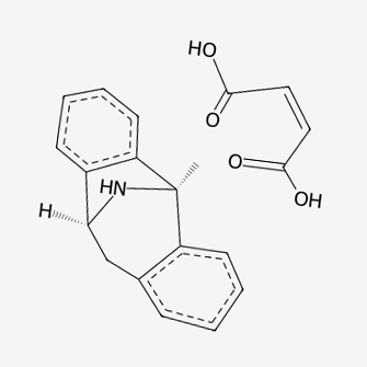 C[C@@]12N[C@@H](Cc3ccccc31)c1ccccc12.O=C(O)/C=C\C(=O)O